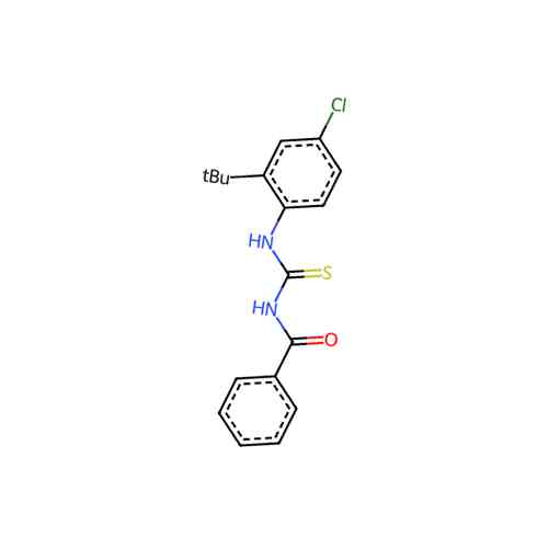 CC(C)(C)c1cc(Cl)ccc1NC(=S)NC(=O)c1ccccc1